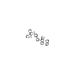 c1cc(-c2ccc3sc4c5ccccc5c5c6ccccc6sc5c4c3c2)cc(-c2c3ccccc3c(-c3cccc4ccccc34)c3ccccc23)c1